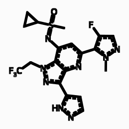 Cn1ncc(F)c1-c1cc(N=S(C)(=O)C2CC2)c2c(n1)c(-c1ccn[nH]1)nn2CC(F)(F)F